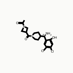 CC(=O)N1CC(C(=O)N2CCC([C@@H](N)c3cc(Cl)c(Cl)cc3O)CC2)C1